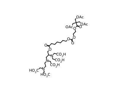 CC(=O)OCC(COC(C)=O)(COC(C)=O)C(=O)OCCOC(=O)OCCCCCCC(=O)OCC(CN(CCN(CC(=O)O)CC(=O)O)CC(=O)O)N(CC(=O)O)CC(=O)O